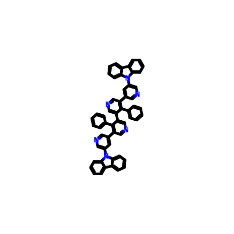 c1ccc(-c2c(-c3cncc(-n4c5ccccc5c5ccccc54)c3)cncc2-c2cncc(-c3cncc(-n4c5ccccc5c5ccccc54)c3)c2-c2ccccc2)cc1